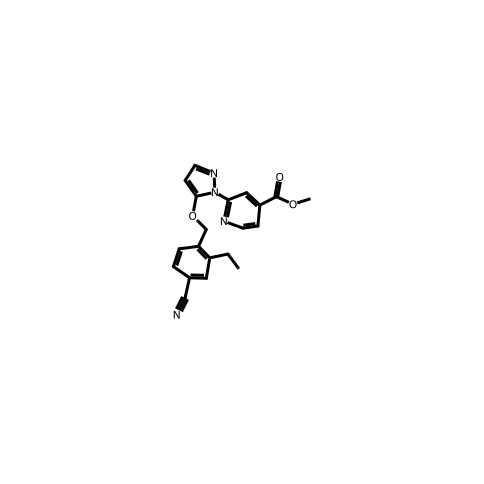 CCc1cc(C#N)ccc1COc1ccnn1-c1cc(C(=O)OC)ccn1